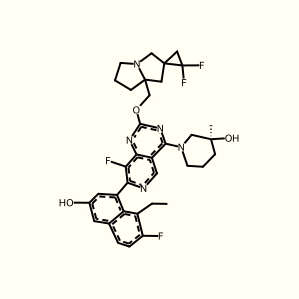 CCc1c(F)ccc2cc(O)cc(-c3ncc4c(N5CCC[C@](C)(O)C5)nc(OCC56CCCN5CC5(C6)CC5(F)F)nc4c3F)c12